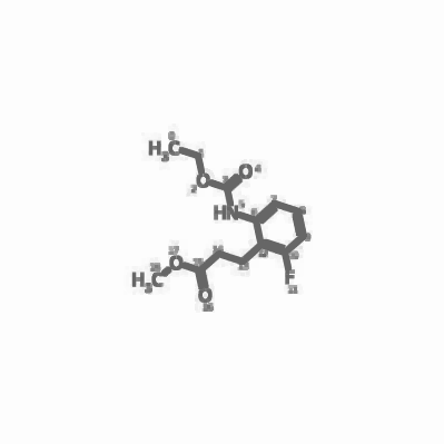 CCOC(=O)Nc1cccc(F)c1CCC(=O)OC